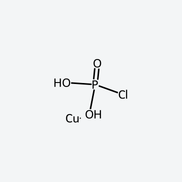 O=P(O)(O)Cl.[Cu]